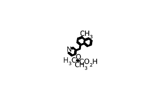 Cc1ccc(Cc2cnccc2OC(C)(C)C(=O)O)c2ccccc12